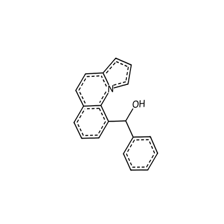 OC(c1ccccc1)c1cccc2ccc3cccn3c12